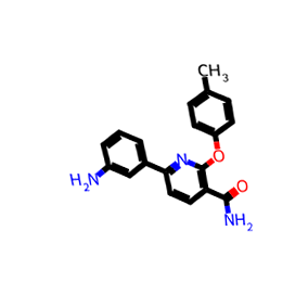 Cc1ccc(Oc2nc(-c3cccc(N)c3)ccc2C(N)=O)cc1